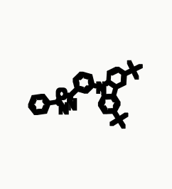 CC(C)(C)C1=CC2c3cc(C(C)(C)C)ccc3N(c3cccc(-c4nnc(-c5ccccc5)o4)c3)C2C=C1